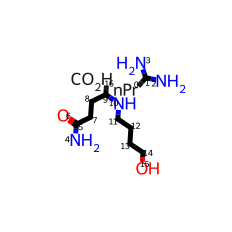 CCCC(N)N.NC(=O)CCC(NCCCCO)C(=O)O